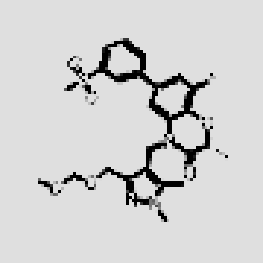 COCOCc1nn(C)c(C)c1CN1C(=O)[C@@H](C)Oc2c(F)cc(-c3cccc(S(C)(=O)=O)c3)cc21